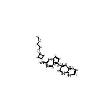 COCCO[C@H]1C[C@H](Nc2ncc3c(-c4cnc5nccnc5c4)ccn3n2)C1